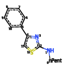 CCCCCNc1nc(-c2ccccc2)cs1